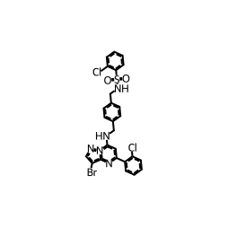 O=S(=O)(NCc1ccc(CNc2cc(-c3ccccc3Cl)nc3c(Br)cnn23)cc1)c1ccccc1Cl